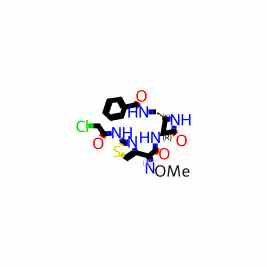 CO/N=C(\C(=O)N[C@H]1C(=O)N[C@H]1CNC(=O)c1ccccc1)c1csc(NC(=O)CCl)n1